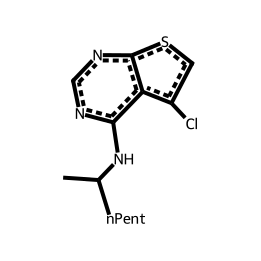 CCCCCC(C)Nc1ncnc2scc(Cl)c12